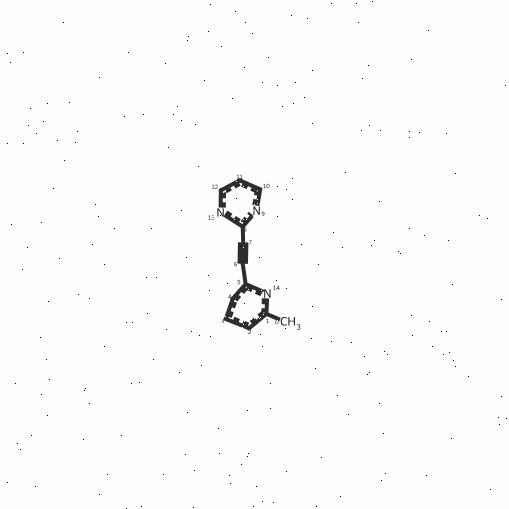 Cc1cccc(C#Cc2ncccn2)n1